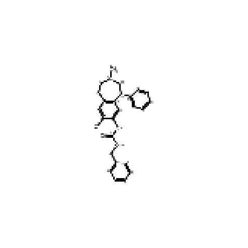 CN1CCc2cc(Cl)c(OC(=O)OCc3ccccc3)cc2[C@H](c2ccccc2)C1